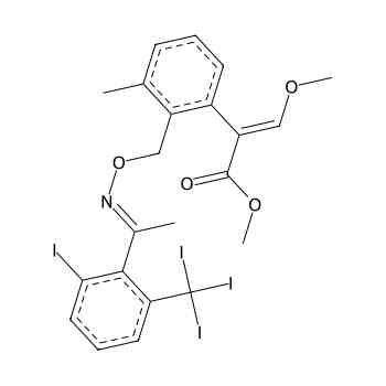 CO/C=C(/C(=O)OC)c1cccc(C)c1CO/N=C(\C)c1c(I)cccc1C(I)(I)I